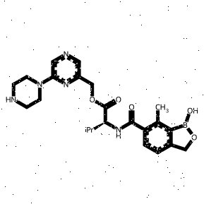 Cc1c(C(=O)N[C@H](C(=O)OCc2cncc(N3CCNCC3)n2)C(C)C)ccc2c1B(O)OC2